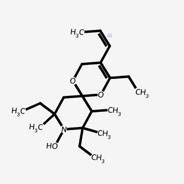 C/C=C\C1=C(CC)OC2(CC(C)(CC)N(O)C(C)(CC)C2C)OC1